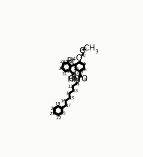 COCOC1=CC=C(C(=O)NCCCCCCCc2ccccc2)CC1(Br)c1ccccc1C(=O)O